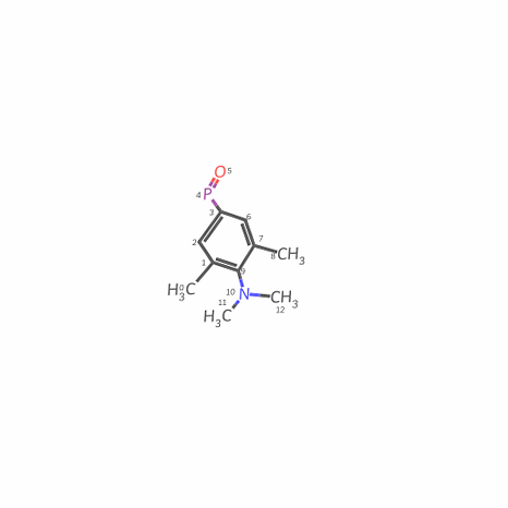 Cc1cc(P=O)cc(C)c1N(C)C